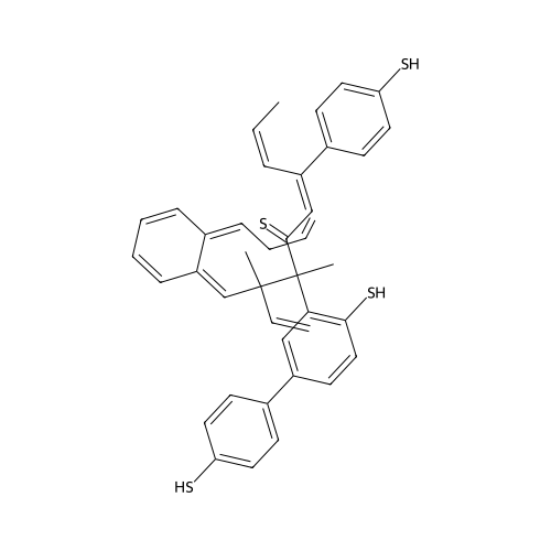 C=CC/C=c1/cccc/c1=C/C(C)(C=C)C(C)(C(=S)/C=C(\C=C/C)c1ccc(S)cc1)c1cc(-c2ccc(S)cc2)ccc1S